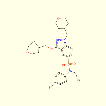 CCc1ccc(N(CC(C)C)S(=O)(=O)c2ccc3c(c2)c(OCC2CCOCC2)nn3CC2CCOCC2)cc1